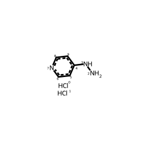 Cl.Cl.NNc1ccncc1